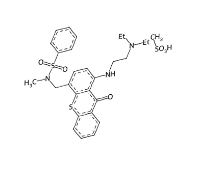 CCN(CC)CCNc1ccc(CN(C)S(=O)(=O)c2ccccc2)c2sc3ccccc3c(=O)c12.CS(=O)(=O)O